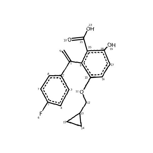 C=C(c1ccc(F)cc1)c1c(OCC2CC2)ccc(O)c1C(=O)O